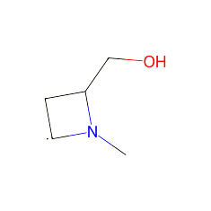 CN1[CH]CC1CO